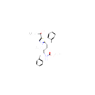 COC(=O)c1cnc([C@H](Cc2ccccc2)C[C@H](OC(C)=O)[C@H](Cc2ccccc2)NC(=O)OC(C)(C)C)s1